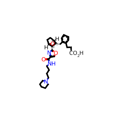 O=C(O)CCc1ccccc1C[C@@H]1[C@H](c2nc(C(=O)NCCCCN3CCCCC3)co2)[C@H]2CC[C@@H]1O2